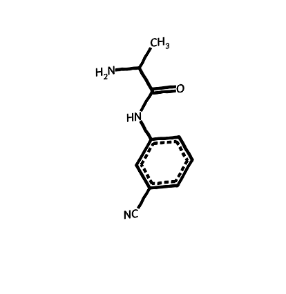 CC(N)C(=O)Nc1cccc(C#N)c1